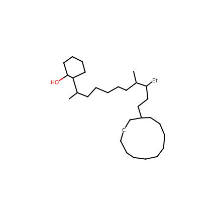 CCC(CCC1CCCCCCCCCCC1)C(C)CCCCCC(C)C1CCCCC1O